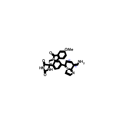 C=C(/C=C\C(=C/N)c1nccs1)c1ccc([C@@]2(CN3Cc4ccc(OC)cc4C3=O)NC(=O)NC2=O)cc1